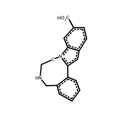 O=C(O)c1ccc2cc3n(c2c1)CCNCc1ccccc1-3